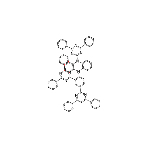 c1ccc(-c2cc(-c3ccccc3)nc(-c3ccc(N4c5ccccc5N(c5nc(-c6ccccc6)nc(-c6ccccc6)n5)c5ccccc54)c(-c4nc(-c5ccccc5)nc(-c5ccccc5)n4)c3)n2)cc1